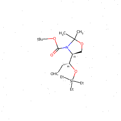 CC[Si](CC)(CC)O[C@H](CC=O)[C@@H]1COC(C)(C)N1C(=O)OC(C)(C)C